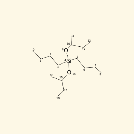 CCCC[Si](CCCC)(OC(C)CC)OC(C)CC